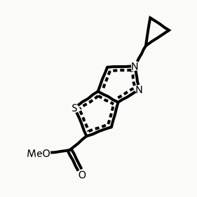 COC(=O)c1cc2nn(C3CC3)cc2s1